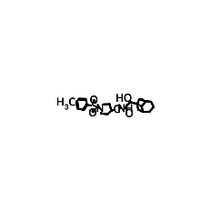 Cc1ccc(S(=O)(=O)N2CCC(CNC(=O)C(O)C34CC5CCCC(C5)(C3)C4)CC2)cc1